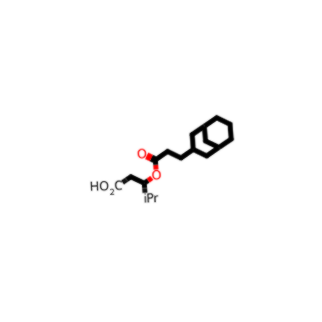 CC(C)C(CC(=O)O)OC(=O)CCC1CC2CCCC(C2)C1